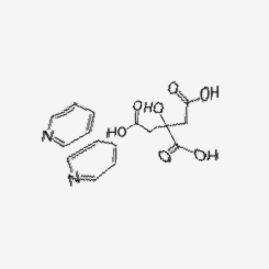 O=C(O)CC(O)(CC(=O)O)C(=O)O.c1ccncc1.c1ccncc1